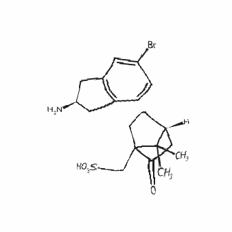 CC1(C)[C@@H]2CCC1(CS(=O)(=O)O)C(=O)C2.N[C@@H]1Cc2ccc(Br)cc2C1